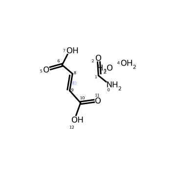 NC=O.O.O.O=C(O)/C=C/C(=O)O